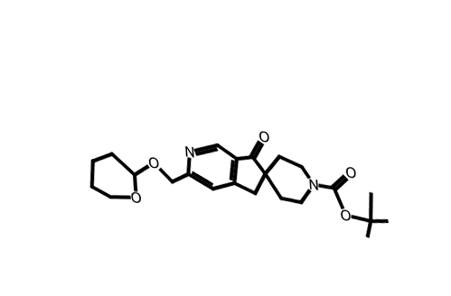 CC(C)(C)OC(=O)N1CCC2(CC1)Cc1cc(COC3CCCCO3)ncc1C2=O